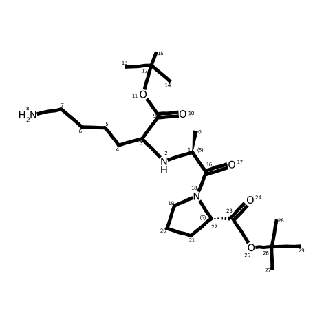 C[C@H](NC(CCCCN)C(=O)OC(C)(C)C)C(=O)N1CCC[C@H]1C(=O)OC(C)(C)C